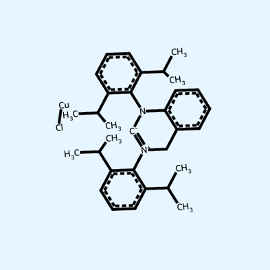 CC(C)c1cccc(C(C)C)c1N1[C-]=[N+](c2c(C(C)C)cccc2C(C)C)Cc2ccccc21.[Cl][Cu]